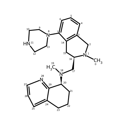 CN1Cc2cccc(N3CCNCC3)c2C[C@@H]1CN(C)[C@H]1CCCc2cccnc21